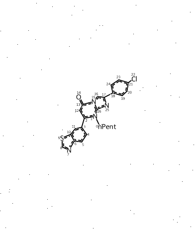 CCCCCn1c(-c2ccc3ncsc3c2)cc(=O)n2cc(-c3ccc(Cl)cc3)nc12